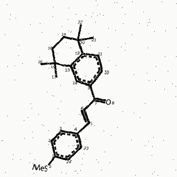 CSc1ccc(C=CC(=O)c2ccc3c(c2)C(C)(C)CCC3(C)C)cc1